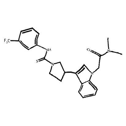 CN(C)C(=O)Cn1cc(C2CCN(C(=S)Nc3cccc(C(F)(F)F)c3)C2)c2ccccc21